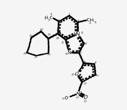 Cc1cc(C)n2[c]c(-c3ccc([N+](=O)[O-])o3)nc2c1C1CCCCC1